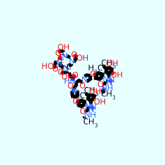 CCNC(=O)c1nnc(-c2cc(C(C)C)c(O)cc2O)n1-c1ccc(OC2CCN(C(=O)CC(CC(=O)N3CCC(Oc4ccc(-n5c(C(=O)NCC)nnc5-c5cc(C(C)C)c(O)cc5O)cc4)CC3)NC(=O)CC[C@H](C(=O)O)N3CCN(CC(=O)O)CCN(CC(=O)O)CCN(CC(=O)O)CC3)CC2)cc1